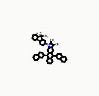 Cc1c(C)n(-c2ccc3c(c2)C(C)(C)c2ccccc2-3)c2cc3c(-c4ccc5ccccc5c4)c4ccccc4c(-c4ccc5ccccc5c4)c3cc12